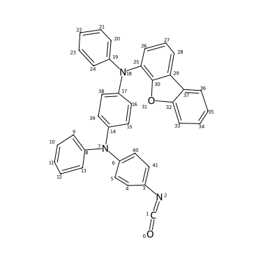 O=C=Nc1ccc(N(c2ccccc2)c2ccc(N(c3ccccc3)c3cccc4c3oc3ccccc34)cc2)cc1